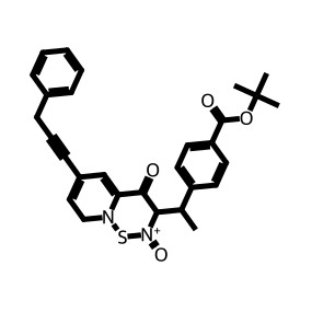 CC(c1ccc(C(=O)OC(C)(C)C)cc1)C1C(=O)C2=CC(C#CCc3ccccc3)=CCN2S[N+]1=O